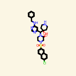 O=C1CN(S(=O)(=O)c2ccc3cc(Cl)ccc3c2)CCN1C(c1cc(NCc2ccccc2)ncn1)C1(O)CCNCC1